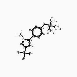 Cn1cc(C(F)(F)F)nc1-c1ccc([CH2][Sn]([CH3])([CH3])[CH3])cc1